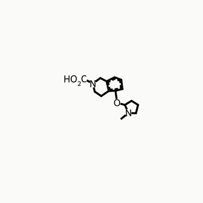 CN1CCCC1Oc1cccc2c1CCN(C(=O)O)C2